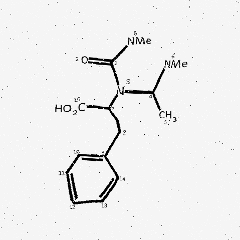 CNC(=O)N(C(C)NC)C(Cc1ccccc1)C(=O)O